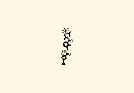 Cc1c(CNC(=O)c2cc(C3CC3)nn2C)cccc1C(=O)N1CC(C)N(S(C)(=O)=O)CC1C